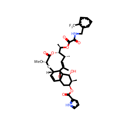 CO[C@H]1C[C@H]2C=CC34CO[C@]2(/C(C)=C/[C@@H](C)[C@@H]([C@@H](C)OC(=O)C(=O)NCc2ccccc2C(F)(F)F)OC1=O)C3[C@H](O)[C@@H](C)[C@@H](OC(=O)c1ccc[nH]1)C4